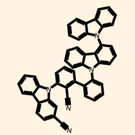 N#Cc1ccc2c3ccccc3n(-c3cccc(-c4ccccc4-n4c5ccccc5c5c(-n6c7ccccc7c7ccccc76)cccc54)c3C#N)c2c1